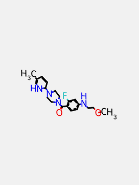 COCCNc1ccc(C(=O)N2CCN(C3C=CC(C)=CN3)CC2)c(F)c1